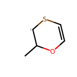 CC1[C]SC=CO1